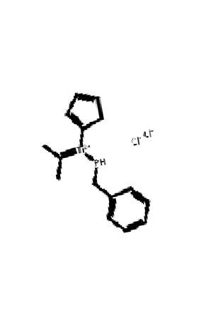 C[C](C)=[Ti+2]([PH]Cc1ccccc1)[C]1=CC=CC1.[Cl-].[Cl-]